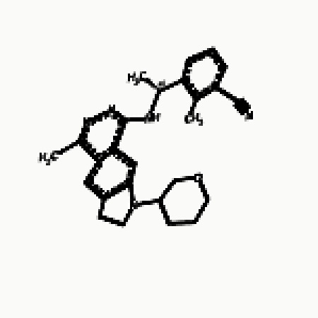 Cc1c(C#N)cccc1[C@@H](C)Nc1nnc(C)c2cc3c(cc12)N(C1CCCOC1)CC3